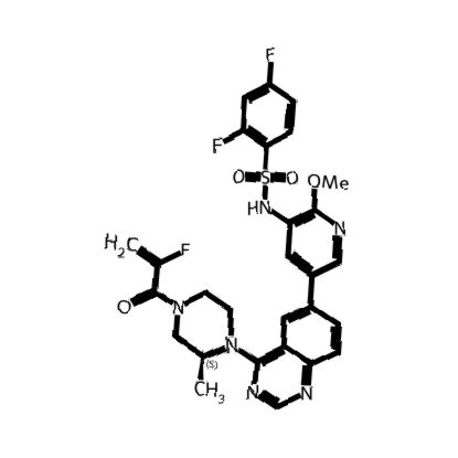 C=C(F)C(=O)N1CCN(c2ncnc3ccc(-c4cnc(OC)c(NS(=O)(=O)c5ccc(F)cc5F)c4)cc23)[C@@H](C)C1